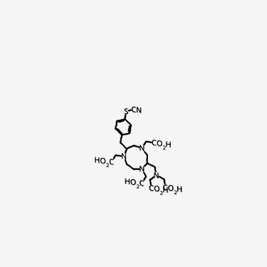 N#CSc1ccc(CC2CN(CC(=O)O)CC(CN(CC(=O)O)CC(=O)O)N(CC(=O)O)CCN2CC(=O)O)cc1